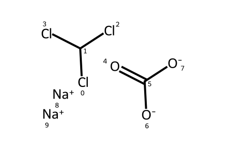 ClC(Cl)Cl.O=C([O-])[O-].[Na+].[Na+]